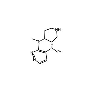 CC(C)Nc1ccnnc1N(C)C1CCNCC1